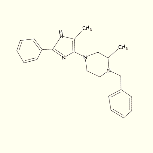 Cc1[nH]c(-c2ccccc2)nc1N1CCN(Cc2ccccc2)C(C)C1